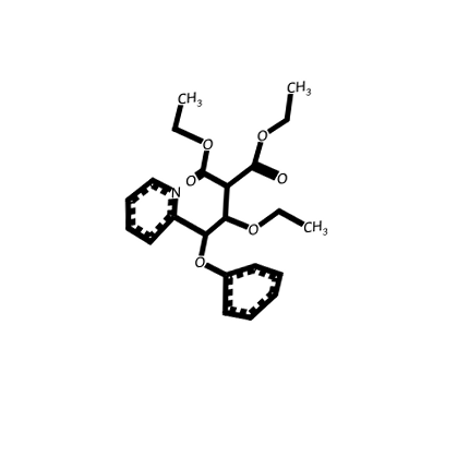 CCOC(=O)C(C(=O)OCC)C(OCC)C(Oc1ccccc1)c1ccccn1